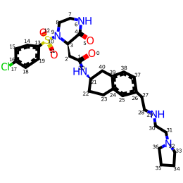 O=C(C[C@@H]1C(=O)NCCN1S(=O)(=O)c1ccc(Cl)cc1)N[C@@H]1CCc2cc(CCNCCN3CCCC3)ccc2C1